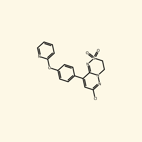 O=S1(=O)CCN2N=C(Cl)C=C(c3ccc(Oc4ccccn4)cc3)C2=N1